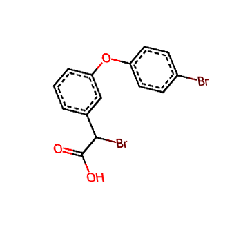 O=C(O)C(Br)c1cccc(Oc2ccc(Br)cc2)c1